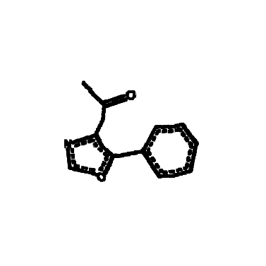 CC(=O)c1ncoc1-c1ccccc1